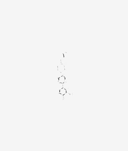 C/C=C/CC1CCC(c2cnc(-c3ccc(F)c(Cl)c3)nc2)CC1